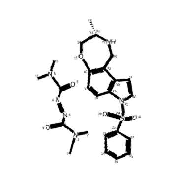 CN(C)C(=O)N=NC(=O)N(C)C.C[C@H]1COc2ccc3c(ccn3S(=O)(=O)c3ccccc3)c2CN1